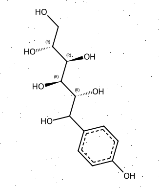 OC[C@@H](O)[C@@H](O)[C@H](O)[C@H](O)C(O)c1ccc(O)cc1